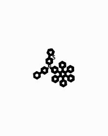 c1ccc(-c2c(-c3ccccc3)c(-c3ccccc3)c(-c3ccc(N(c4ccc(C5CCCCC5)cc4)c4ccc5c(c4)sc4ccccc45)cc3)c(-c3ccccc3)c2-c2ccccc2)cc1